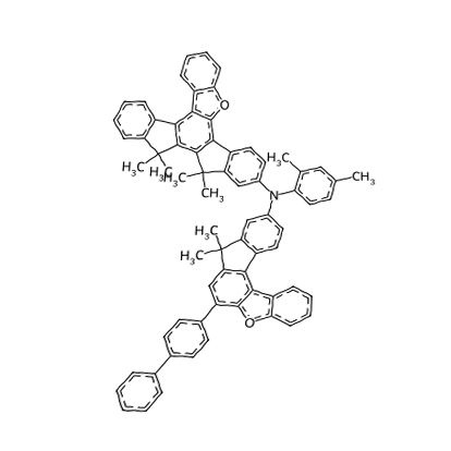 Cc1ccc(N(c2ccc3c(c2)C(C)(C)c2cc(-c4ccc(-c5ccccc5)cc4)c4oc5ccccc5c4c2-3)c2ccc3c(c2)C(C)(C)c2c4c(c5c(oc6ccccc65)c2-3)-c2ccccc2C4(C)C)c(C)c1